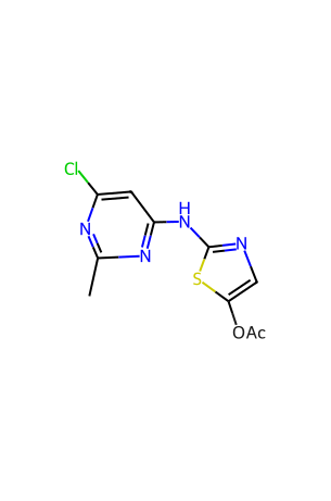 CC(=O)Oc1cnc(Nc2cc(Cl)nc(C)n2)s1